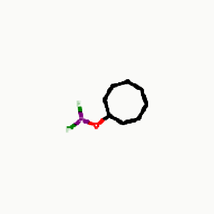 FP(F)OC1CCCCCCC1